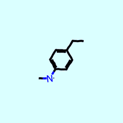 CCc1ccc([N]C)cc1